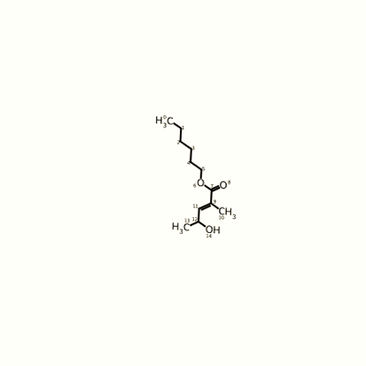 CCCCCCOC(=O)C(C)=CC(C)O